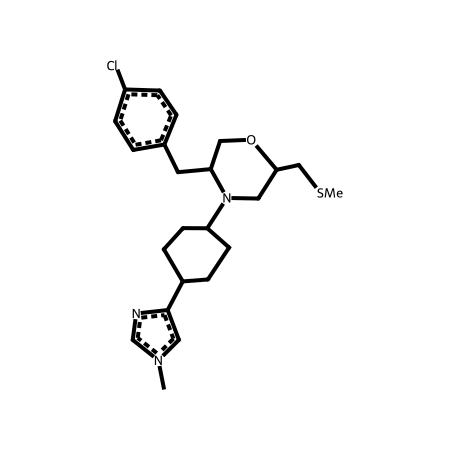 CSCC1CN(C2CCC(c3cn(C)cn3)CC2)C(Cc2ccc(Cl)cc2)CO1